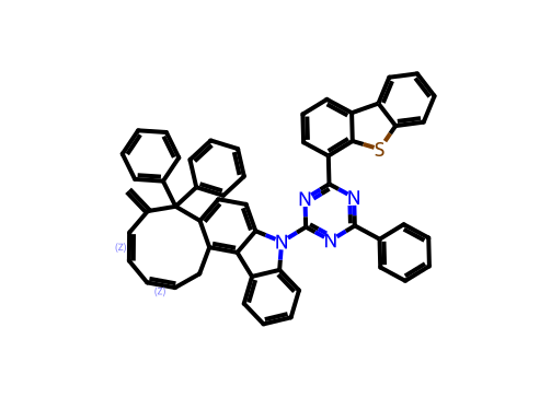 C=C1/C=C\C=C/Cc2c(ccc3c2c2ccccc2n3-c2nc(-c3ccccc3)nc(-c3cccc4c3sc3ccccc34)n2)C1(c1ccccc1)c1ccccc1